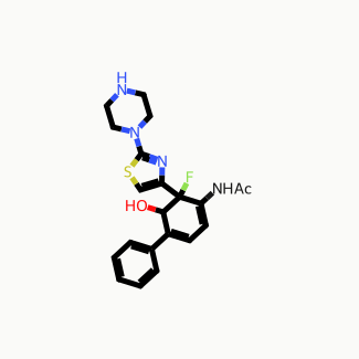 CC(=O)NC1=CC=C(c2ccccc2)C(O)C1(F)c1csc(N2CCNCC2)n1